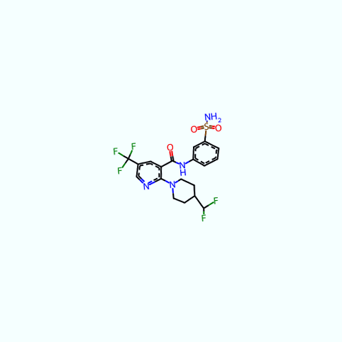 NS(=O)(=O)c1cccc(NC(=O)c2cc(C(F)(F)F)cnc2N2CCC(C(F)F)CC2)c1